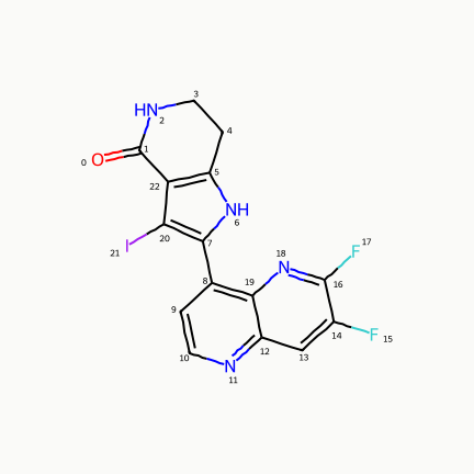 O=C1NCCc2[nH]c(-c3ccnc4cc(F)c(F)nc34)c(I)c21